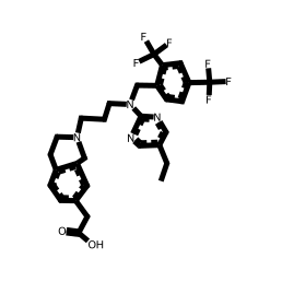 CCc1cnc(N(CCCN2CCc3ccc(CC(=O)O)cc3C2)Cc2ccc(C(F)(F)F)cc2C(F)(F)F)nc1